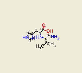 CC(C)[C@@H](CN)N[C@@H](Cc1c[nH]cn1)C(=O)O